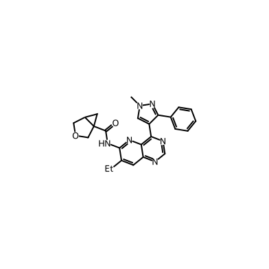 CCc1cc2ncnc(-c3cn(C)nc3-c3ccccc3)c2nc1NC(=O)C12COCC1C2